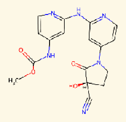 COC(=O)Nc1ccnc(Nc2cc(N3CC[C@](O)(C#N)C3=O)ccn2)c1